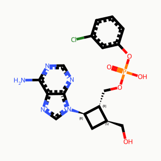 Nc1ncnc2c1ncn2[C@@H]1C[C@H](CO)[C@H]1COP(=O)(O)Oc1cccc(Cl)c1